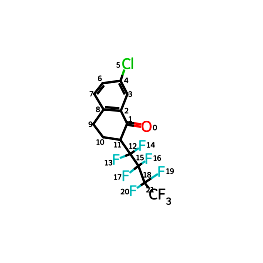 O=C1c2cc(Cl)ccc2CCC1C(F)(F)C(F)(F)C(F)(F)C(F)(F)F